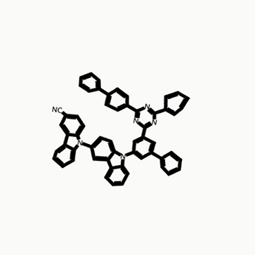 N#Cc1ccc2c(c1)c1ccccc1n2-c1ccc2c(c1)c1ccccc1n2-c1cc(-c2ccccc2)cc(-c2nc(-c3ccccc3)nc(-c3ccc(-c4ccccc4)cc3)n2)c1